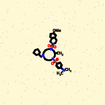 C=C1CN(S(=O)(=O)c2ccc(N(C)C)cc2)CCCN(CC2CCCCC2)CCCN(S(=O)(=O)N2CCc3cc(OC)ccc3C2)C1